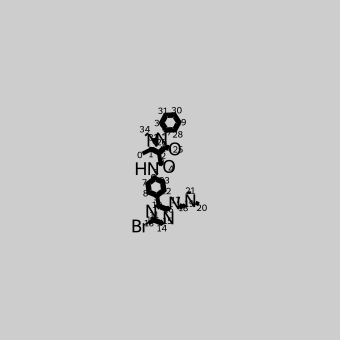 Cc1c(C(=O)Nc2ccc(-c3nc(Br)cnc3N=CN(C)C)cc2)c(=O)n(-c2ccccc2)n1C